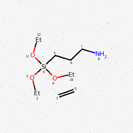 C=C.CCO[Si](CCCN)(OCC)OCC